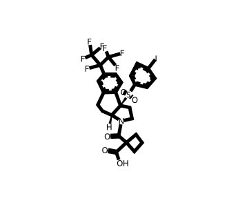 O=C(O)C1(C(=O)N2CC[C@@]3(S(=O)(=O)c4ccc(I)cc4)c4ccc(C(F)(C(F)(F)F)C(F)(F)F)cc4CC[C@@H]23)CCC1